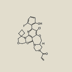 C=CC(=O)N1CCN2C(=O)c3c(N4CCOCC45CCC5)nc(-c4c(O)cccc4F)c(Cl)c3OC[C@H]2C1